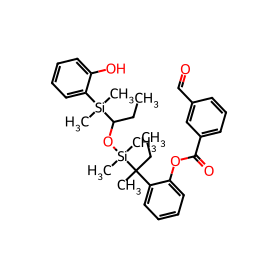 CCC(O[Si](C)(C)C(C)(CC)c1ccccc1OC(=O)c1cccc(C=O)c1)[Si](C)(C)c1ccccc1O